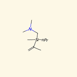 C=C(C)[Si](C)(CCC)CN(C)C